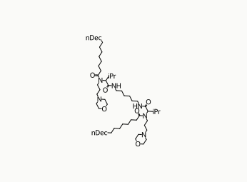 CCCCCCCCCCCCCCCCCC(=O)N(CCCN1CCOCC1)C(C(=O)NCCCCCCNC(=O)C(C(C)C)N(CCCN1CCOCC1)C(=O)CCCCCCCCCCCCCCCCC)C(C)C